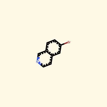 Brc1ccc2[c]nccc2c1